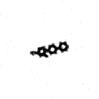 Cc1cc(N)cnc1N1CCC(N2CCOCC2)CC1